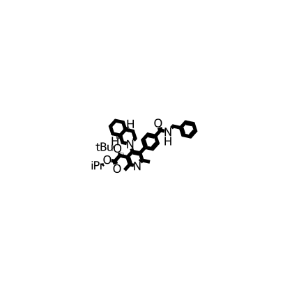 Cc1nc(C)c([C@H](OC(C)(C)C)C(=O)OC(C)C)c(N2CC[C@H]3CCCC[C@@H]3C2)c1-c1ccc(C(=O)NCc2ccccc2)cc1